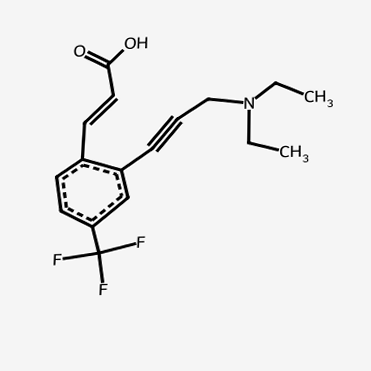 CCN(CC)CC#Cc1cc(C(F)(F)F)ccc1/C=C/C(=O)O